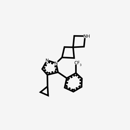 FC(F)(F)c1ccccc1-c1c(C2CC2)cnn1C1CC2(CNC2)C1